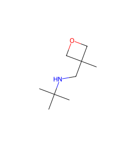 CC1(CNC(C)(C)C)COC1